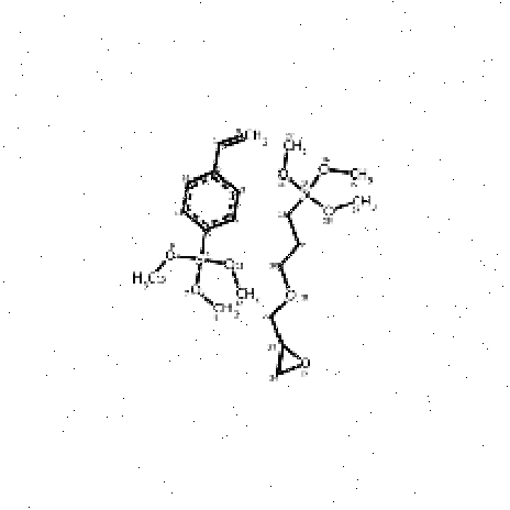 C=Cc1ccc([Si](OC)(OC)OC)cc1.CO[Si](CCCOCC1CO1)(OC)OC